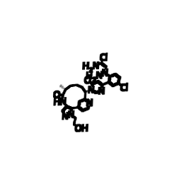 C[C@@H]1CCC[C@H](n2cnc(-c3cc(Cl)ccc3N(N)/C=C(\N)Cl)cc2=O)c2cc(ccn2)-c2c(cnn2CCO)NC1=O